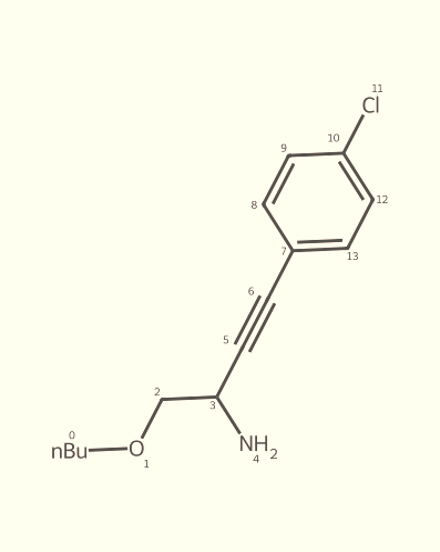 CCCCOCC(N)C#Cc1ccc(Cl)cc1